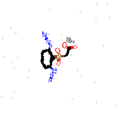 CC(C)(C)OC(=O)CS(=O)(=O)c1c(N=[N+]=[N-])cccc1N=[N+]=[N-]